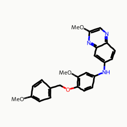 COc1ccc(COc2ccc(Nc3ccc4ncc(OC)nc4c3)cc2OC)cc1